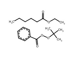 CC(C)(C)OOC(=O)c1ccccc1.CCCCCC(=O)OCC